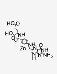 CN1c2c(nc(N)[nH]c2=O)NCC1CNc1ccc(C(=O)NC(CCC(=O)O)C(=O)O)cc1.[Zn]